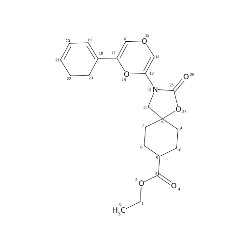 CCOC(=O)C1CCC2(CC1)CN(C1=COC=C(C3=CC=CCC3)O1)C(=O)O2